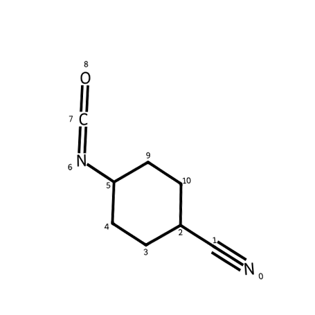 N#CC1CCC(N=C=O)CC1